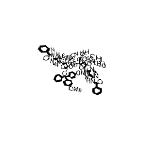 COc1ccc(C(OC[C@@H]2O[C@H](n3cnc4c(NC(=O)c5ccccc5)ncnc43)[C@@H](O[Si](C)(C)C(C)(C)C)[C@H]2OP(=S)(OCCC#N)OC[C@@H]2O[C@H](n3cnc4c(NC(=O)c5ccccc5)ncnc43)[C@@H](O[Si](C)(C)C(C)(C)C)[C@H]2O[PH](=O)O)(c2ccccc2)c2ccc(OC)cc2)cc1